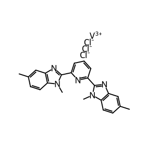 Cc1ccc2c(c1)nc(-c1cccc(-c3nc4cc(C)ccc4n3C)n1)n2C.[Cl-].[Cl-].[Cl-].[V+3]